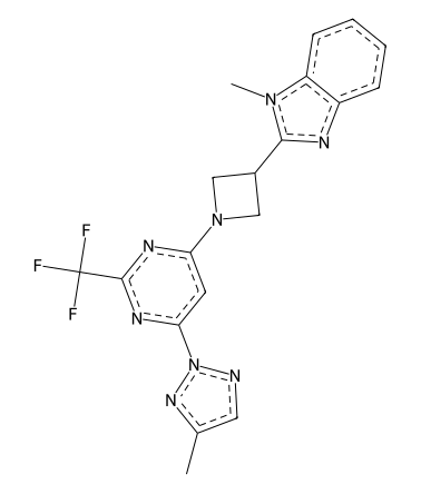 Cc1cnn(-c2cc(N3CC(c4nc5ccccc5n4C)C3)nc(C(F)(F)F)n2)n1